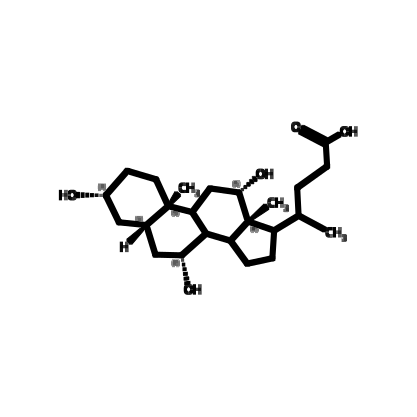 CC(CCC(=O)O)C1CCC2C3C(C[C@H](O)[C@]12C)[C@@]1(C)CC[C@@H](O)C[C@H]1C[C@H]3O